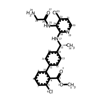 COC(=O)c1c(Cl)cccc1-c1ccc([C@@H](C)Nc2nccc(Cl)c2NC(=O)CN)cc1